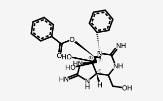 N=C1N[C@H]2C(CO)NC(=N)N3[C@H](c4ccccc4)[C@H](OC(=O)c4ccccc4)C(O)(O)C23N1